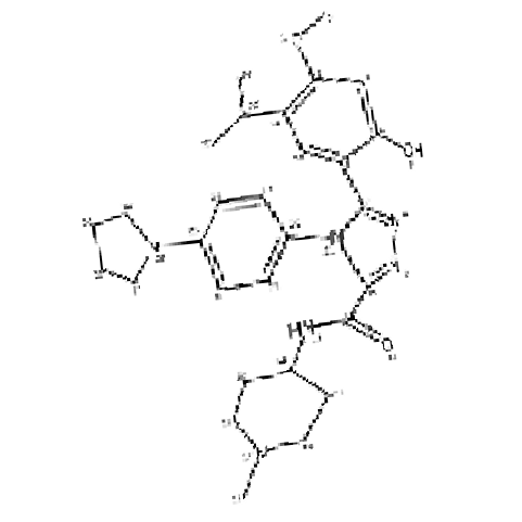 COc1cc(O)c(-c2nnc(C(=O)NC3CCN(C)CC3)n2-c2ccc(N3CCCC3)cc2)cc1C(C)C